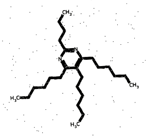 [CH2]CCCc1nc(CCCCCC)c(CCCCCC)c(CCCCCC)n1